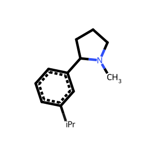 CC(C)c1cccc(C2CCCN2C)c1